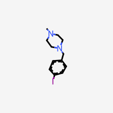 CN1CCN(Cc2ccc(I)cc2)CC1